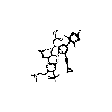 COC(=O)C[C@H](NC(=O)C(CC(C)C)n1cc(CCN(C)C)c(C(F)(F)F)cc1=O)c1cc(-c2c(C)cc(F)cc2C)cc(C#CC2CC2)n1